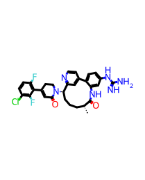 C[C@@H]1CCC[C@H](N2CCC(c3c(F)ccc(Cl)c3F)=CC2=O)c2cc(ccn2)-c2ccc(NC(=N)N)cc2NC1=O